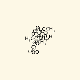 Cc1ccc(C)c(-c2cc3c(c(-c4cc(C)c(OC(=O)c5ccc6c(c5)C(=O)OC6=O)c(C)c4C)c2C(=O)O)C(=O)OC3=O)c1C